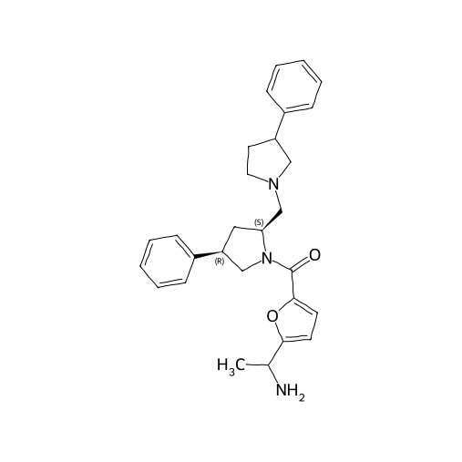 CC(N)c1ccc(C(=O)N2C[C@@H](c3ccccc3)C[C@H]2CN2CCC(c3ccccc3)C2)o1